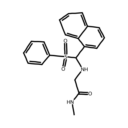 CNC(=O)CNC(c1cccc2ccccc12)S(=O)(=O)c1ccccc1